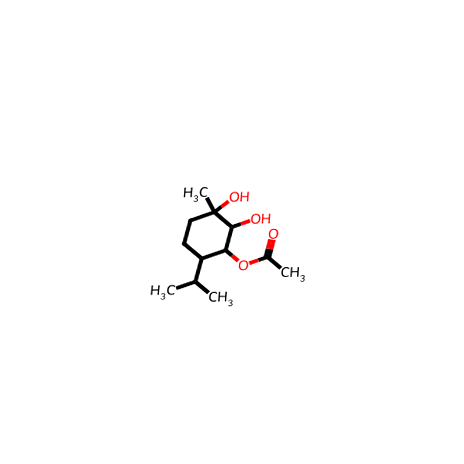 CC(=O)OC1C(C(C)C)CCC(C)(O)C1O